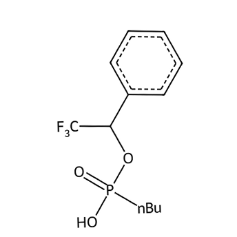 CCCCP(=O)(O)OC(c1ccccc1)C(F)(F)F